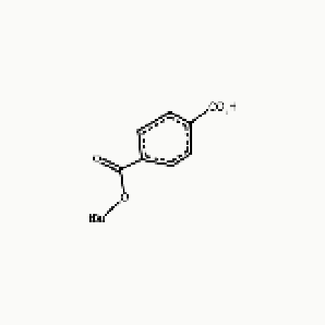 CC(C)(C)OC(=O)c1ccc(C(=O)O)cc1